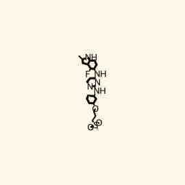 Cc1cc2c(F)c(Nc3ccnc(Nc4cccc(OCCCS(C)(=O)=O)c4)n3)ccc2[nH]1